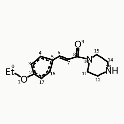 CCOc1ccc(C=CC(=O)N2CCNCC2)cc1